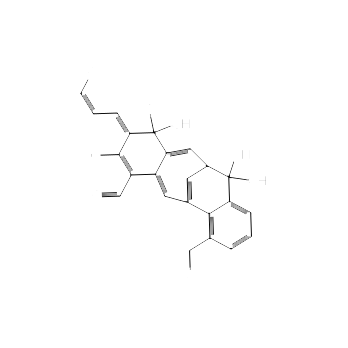 C=CC1=C(C)/C(=C\C=C/C)C(C)(C)C2=CC3C=C(C=C21)c1c(CCl)cccc1C3(C)C